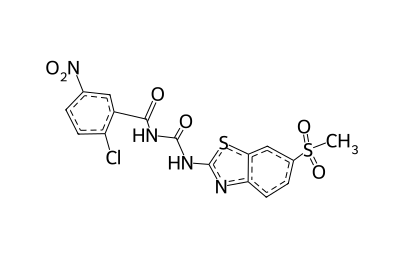 CS(=O)(=O)c1ccc2nc(NC(=O)NC(=O)c3cc([N+](=O)[O-])ccc3Cl)sc2c1